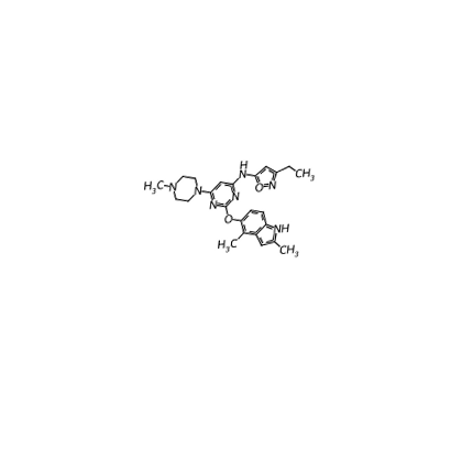 CCc1cc(Nc2cc(N3CCN(C)CC3)nc(Oc3ccc4[nH]c(C)cc4c3C)n2)on1